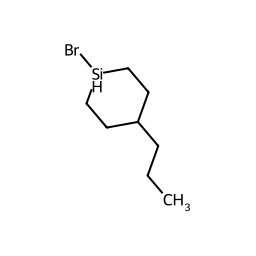 CCCC1CC[SiH](Br)CC1